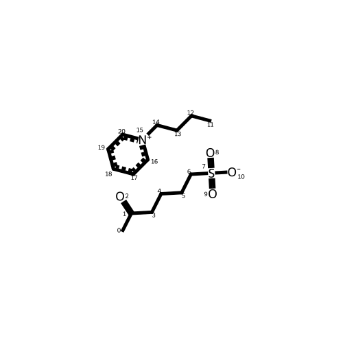 CC(=O)CCCCS(=O)(=O)[O-].CCCC[n+]1ccccc1